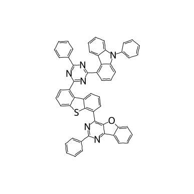 c1ccc(-c2nc(-c3cccc4sc5c(-c6nc(-c7ccccc7)nc7c6oc6ccccc67)cccc5c34)nc(-c3cccc4c3c3ccccc3n4-c3ccccc3)n2)cc1